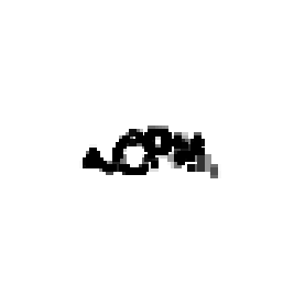 CS(=O)(=O)Nc1ccc2c(c1)OCCN(CC1CC1)CCO2